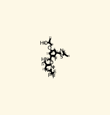 Cc1cnc(-c2cc(OCC(C)O)cc(C(=O)N[C@H](C)c3cnc(C(F)(F)F)nc3)c2F)s1